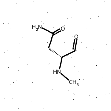 CN[C@@H]([C]=O)CC(N)=O